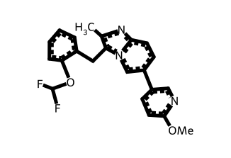 COc1ccc(-c2ccc3nc(C)c(Cc4ccccc4OC(F)F)n3c2)cn1